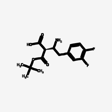 CC(C)(C)OC(=O)[C@H](C(=O)O)C(N)Cc1ccc(F)c(F)c1